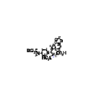 CCOC(=O)N(C)C1CCN(CC2=Cc3c2ccc2c3OCO2)CC1.O=C(O)/C=C/C(=O)O